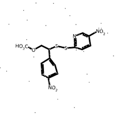 O=C(O)OCC(SSc1ccc([N+](=O)[O-])cn1)c1ccc([N+](=O)[O-])cc1